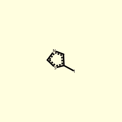 Ic1[c]ncs1